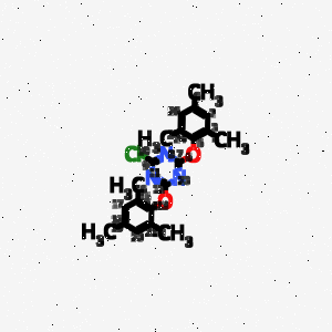 Cc1cc(C)c(Oc2nc(Cl)nc(Oc3c(C)cc(C)cc3C)n2)c(C)c1